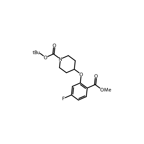 COC(=O)c1ccc(F)cc1OC1CCN(C(=O)OC(C)(C)C)CC1